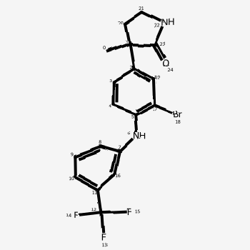 CC1(c2ccc(Nc3cccc(C(F)(F)F)c3)c(Br)c2)CCNC1=O